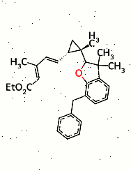 CCOC(=O)C=C(C)C=C[C@@H]1C[C@]1(C)C1Oc2c(Cc3ccccc3)cccc2C1(C)C